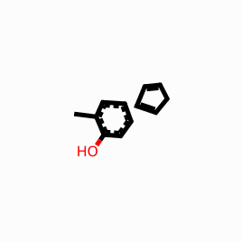 C1=CCC=C1.Cc1ccccc1O